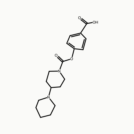 O=C(O)c1ccc(OC(=O)N2CCC(N3CCCCC3)CC2)cc1